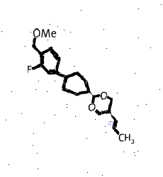 C/C=C/[C@H]1CO[C@H](C2CCC(c3ccc(COC)c(F)c3)CC2)OC1